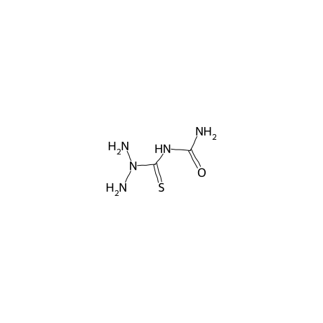 NC(=O)NC(=S)N(N)N